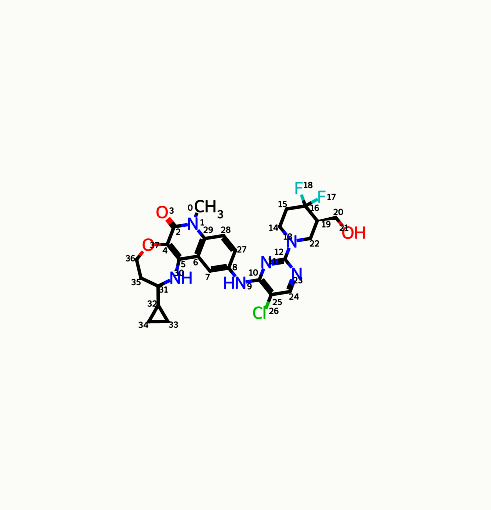 Cn1c(=O)c2c(c3cc(Nc4nc(N5CCC(F)(F)[C@@H](CO)C5)ncc4Cl)ccc31)NC(C1CC1)CCO2